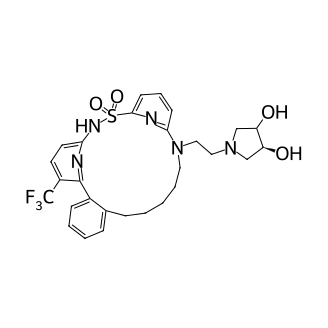 O=S1(=O)Nc2ccc(C(F)(F)F)c(n2)-c2ccccc2CCCCCN(CCN2CC(O)[C@@H](O)C2)c2cccc1n2